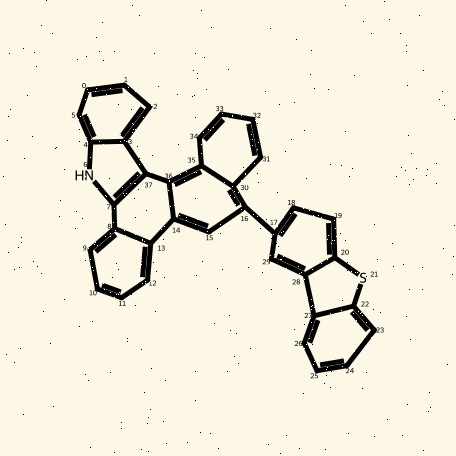 c1ccc2c(c1)[nH]c1c3ccccc3c3cc(-c4ccc5sc6ccccc6c5c4)c4ccccc4c3c21